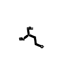 CCCCN(CC[O])C(C)(C)C